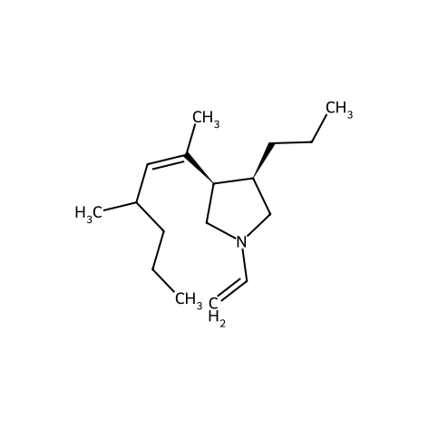 C=CN1C[C@H](CCC)[C@H](/C(C)=C\C(C)CCC)C1